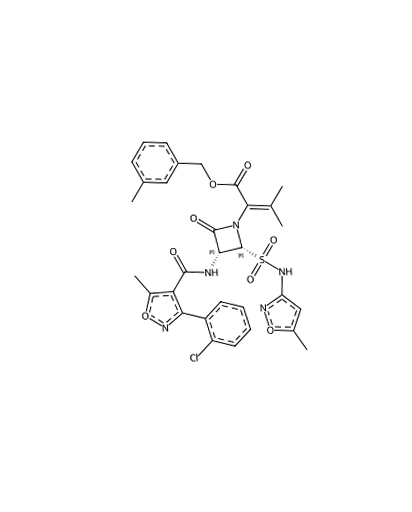 CC(C)=C(C(=O)OCc1cccc(C)c1)N1C(=O)[C@@H](NC(=O)c2c(-c3ccccc3Cl)noc2C)[C@H]1S(=O)(=O)Nc1cc(C)on1